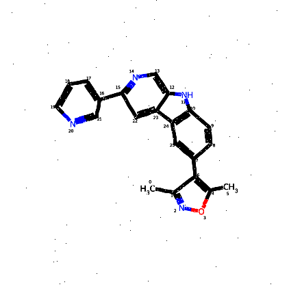 Cc1noc(C)c1-c1ccc2[nH]c3cnc(-c4cccnc4)cc3c2c1